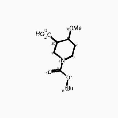 COC1CCN(C(=O)OC(C)(C)C)CC1C(=O)O